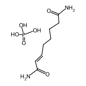 NC(=O)/C=C/CCCCC(N)=O.O=P(O)(O)O